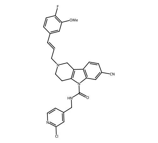 COc1cc(C=CCN2CCc3c(c4ccc(C#N)cc4n3C(=O)NCc3ccnc(Cl)c3)C2)ccc1F